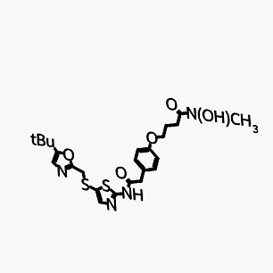 CN(O)C(=O)CCCOc1ccc(CC(=O)Nc2ncc(SCc3ncc(C(C)(C)C)o3)s2)cc1